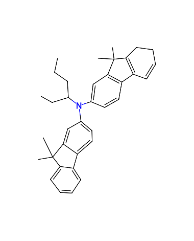 CCCC(CC)N(c1ccc2c(c1)C(C)(C)C1=C2C=CCC1)c1ccc2c(c1)C(C)(C)c1ccccc1-2